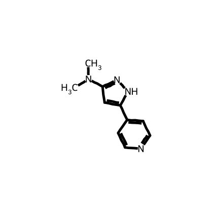 CN(C)c1cc(-c2ccncc2)[nH]n1